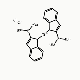 CC(C)(C)P(C1=Cc2ccccc2[CH]1[Ti+2][CH]1C(P(C(C)(C)C)C(C)(C)C)=Cc2ccccc21)C(C)(C)C.[Cl-].[Cl-]